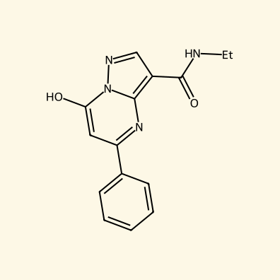 CCNC(=O)c1cnn2c(O)cc(-c3ccccc3)nc12